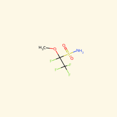 COC(F)(C(F)(F)F)S(N)(=O)=O